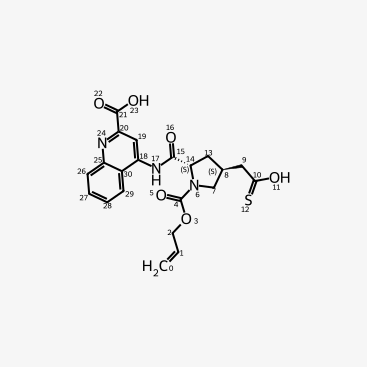 C=CCOC(=O)N1C[C@H](CC(O)=S)C[C@H]1C(=O)Nc1cc(C(=O)O)nc2ccccc12